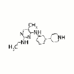 CCNc1ncc(C)c(Nc2cccc(C3CCNCC3)c2)n1